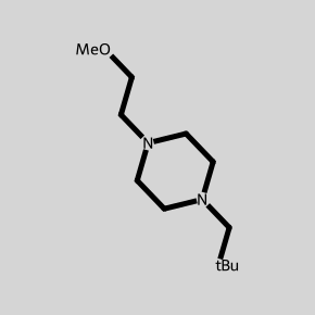 COCCN1CCN(CC(C)(C)C)CC1